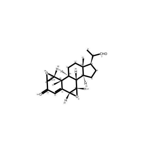 CC(C=O)[C@H]1CC[C@H]2[C@@H]3[C@@H]4O[C@@H]4C4=CC(=O)[C@@H]5O[C@@H]5[C@]4(C)[C@H]3CC[C@]12C